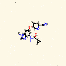 Cc1cc(C#N)ncc1Oc1cc(NC(=O)C2CC2)c2ncn(C)c2c1